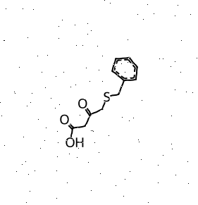 O=C(O)CC(=O)CSCc1ccccc1